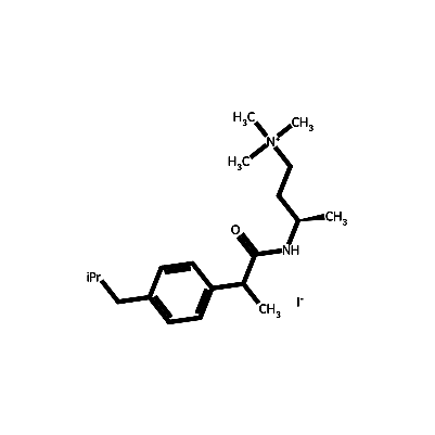 CC(C)Cc1ccc(C(C)C(=O)N[C@H](C)CC[N+](C)(C)C)cc1.[I-]